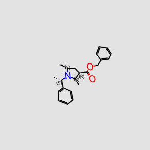 C[C@@H]1[C@H](C(=O)OCc2ccccc2)C[C@H](C)N1[C@@H](C)c1ccccc1